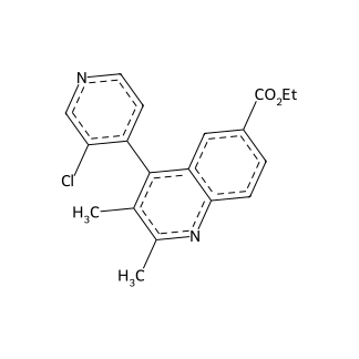 CCOC(=O)c1ccc2nc(C)c(C)c(-c3ccncc3Cl)c2c1